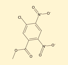 COC(=O)c1cc(Cl)c([N+](=O)[O-])cc1[N+](=O)[O-]